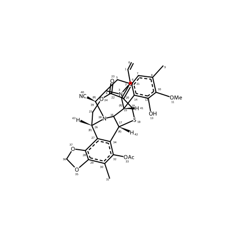 C=CCN1C2Cc3cc(C)c(OC)c(O)c3[C@@H]1C1[C@@H]3SCC(=O)C(=O)OC[C@@H](c4c5c(c(C)c(OC(C)=O)c43)OCO5)N1[C@H]2C#N